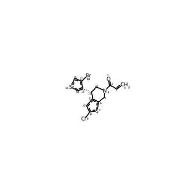 C=CC(=O)N1Cc2sc(Cl)cc2[C@H](c2cscc2Br)C1